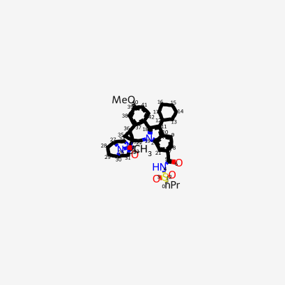 CCCS(=O)(=O)NC(=O)c1ccc2c(C3CCCCC3)c3n(c2c1)CC1(C(=O)N2C4CCC2CN(C)C4)CC1c1cc(OC)ccc1-3